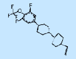 C=C[C@H]1CC[C@H]([C@H]2CC[C@H](c3cc(F)c(OC(F)(F)F)c(F)c3)CC2)CC1